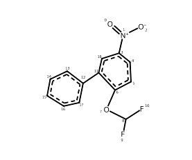 O=[N+]([O-])c1ccc(OC(F)F)c(-c2ccccc2)c1